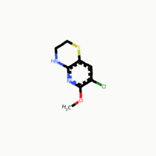 COc1nc2c(cc1Cl)SCCN2